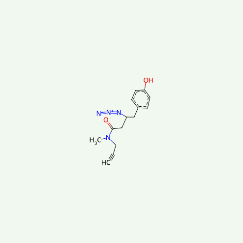 C#CCN(C)C(=O)CC(Cc1ccc(O)cc1)N=[N+]=[N-]